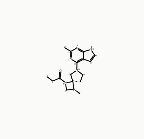 CCC(=O)N1C[C@H](C)[C@@]12CCN(c1nc(C)nc3[nH]ccc13)C2